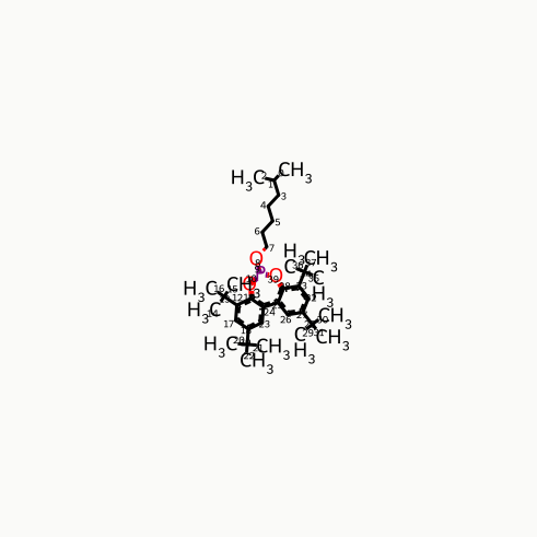 CC(C)CCCCCOp1oc2c(C(C)(C)C)cc(C(C)(C)C)cc2c2cc(C(C)(C)C)cc(C(C)(C)C)c2o1